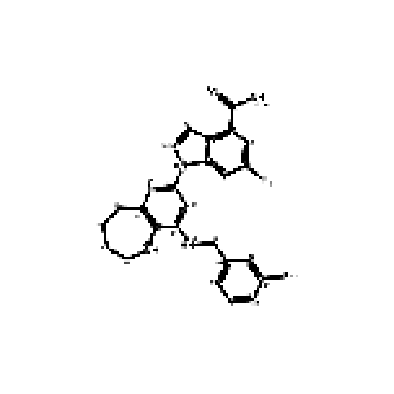 NC(=O)c1cc(F)cc2c1cnn2-c1nc2c(c(NCc3cccc(F)c3)n1)NCCCC2